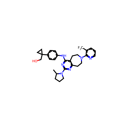 CC1CCCN1c1nc2c(c(Nc3ccc(C4(CO)CC4)cc3)n1)CCN(c1ncccc1C(F)(F)F)CC2